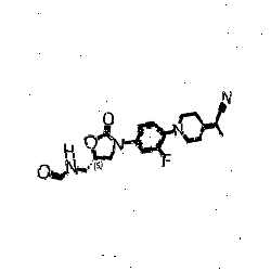 CC(C#N)=C1CCN(c2ccc(N3C[C@H](CNC=O)OC3=O)cc2F)CC1